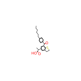 CCCCCCc1ccc(C(=O)c2cc(C(C)C(=O)O)cc3c2SCC3)cc1